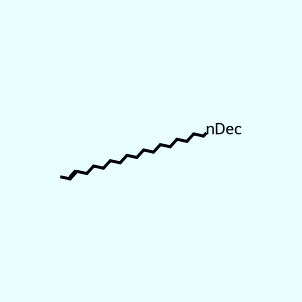 CC=CCCCCCCCCCCCCCCCCCCCCCCCCC